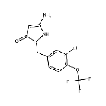 Nc1cc(=O)n(Cc2ccc(OC(F)(F)F)c(Cl)c2)[nH]1